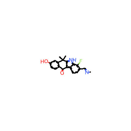 C/N=C/c1ccc2c3c([nH]c2c1F)C(C)(C)c1cc(O)ccc1C3=O